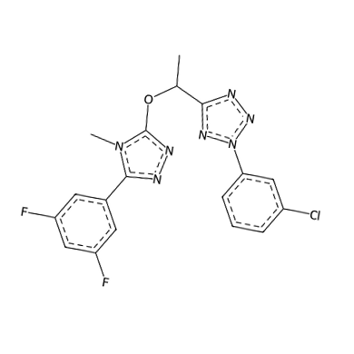 CC(Oc1nnc(-c2cc(F)cc(F)c2)n1C)c1nnn(-c2cccc(Cl)c2)n1